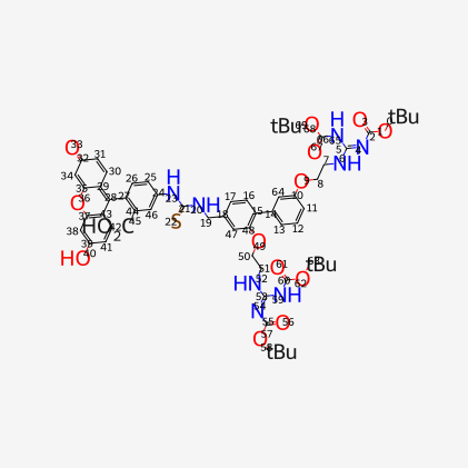 CC(C)(C)OC(=O)/N=C(/NCCOc1cccc(-c2ccc(CNC(=S)Nc3ccc(-c4c5ccc(=O)cc-5oc5cc(O)ccc45)c(C(=O)O)c3)cc2OCCN/C(=N/C(=O)OC(C)(C)C)NC(=O)OC(C)(C)C)c1)NC(=O)OC(C)(C)C